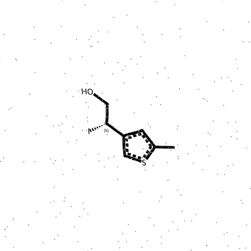 Cc1cc([C@H](I)CO)cs1